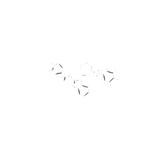 Cc1cc(C(=O)Nc2nc3cccc(Cl)c3n2C2CCCCN(S(=O)(=O)c3c(F)c(F)c(F)c(F)c3F)C2)ccn1